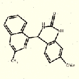 COc1ccc2c(c1)NC(=O)NC2c1nc(C)nc2ccccc12